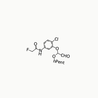 CCCCCOC(C=O)Oc1cc(NC(=O)CF)ccc1Cl